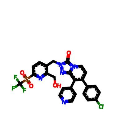 O=c1n(Cc2ccc(S(=O)(=O)C(F)(F)F)nc2CO)nc2c(-c3ccncc3)c(-c3ccc(Cl)cc3)ccn12